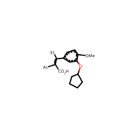 CCC(=C(C(C)=O)C(=O)O)c1ccc(OC)c(OC2CCCC2)c1